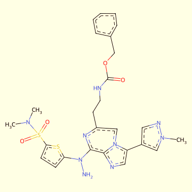 CN(C)S(=O)(=O)c1ccc(N(N)c2nc(CCNC(=O)OCc3ccccc3)cn3c(-c4cnn(C)c4)cnc23)s1